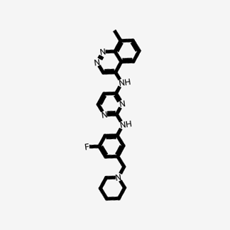 Cc1cccc2c(Nc3ccnc(Nc4cc(F)cc(CN5CCCCC5)c4)n3)cnnc12